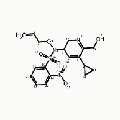 C=CCON(C1C=C(C2CC2)C(CO)=NC1)S(=O)(=O)c1ccccc1[N+](=O)[O-]